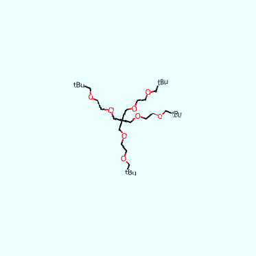 CC(C)(C)COCCOCC(COCCOCC(C)(C)C)(COCCOCC(C)(C)C)COCCOCC(C)(C)C